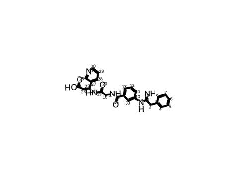 N=C(Cc1ccccc1)Nc1cccc(C(=O)NCC(=O)NC(CC(=O)O)c2cccnc2)c1